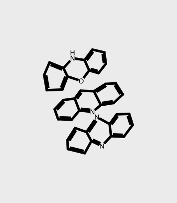 c1ccc2c(c1)Nc1ccccc1O2.c1ccc2nc3ccccc3cc2c1.c1ccc2nc3ccccc3nc2c1